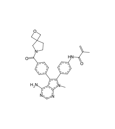 C=C(C)C(=O)Nc1ccc(-c2c(-c3ccc(C(=O)N4CCC5(COC5)C4)cc3)c3c(N)ncnc3n2C)cc1